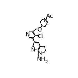 CC(=O)N1CCC(OCc2cncc(-c3cnc4c(c3)CCCN4CN)c2Cl)CC1